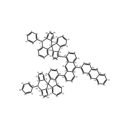 c1ccc(N2c3ccccc3C3(c4ccccc4-c4c(-c5cccc6c(-c7ccc8cc9ccccc9cc8c7)c7cccc(-c8cccc9c8-c8ccccc8C98c9ccccc9N(c9ccccc9)c9ccccc98)c7cc56)cccc43)c3ccccc32)cc1